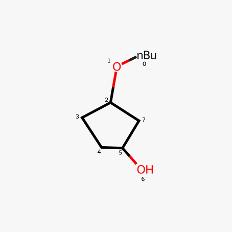 CCCCOC1CCC(O)C1